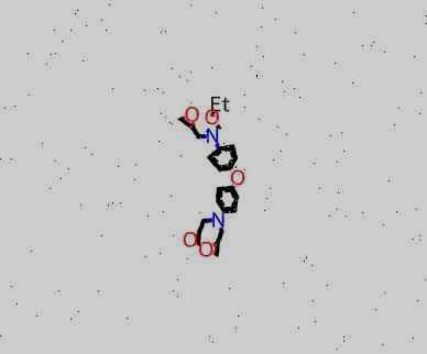 CCOCN(CC1CO1)c1ccc(Oc2ccc(N(CC3CO3)CC3CO3)cc2)cc1